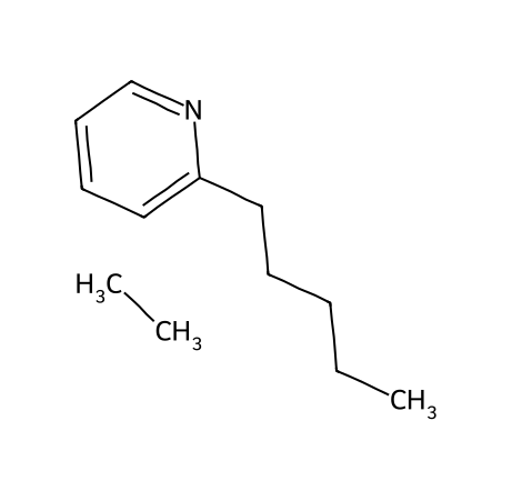 CC.CCCCCc1ccccn1